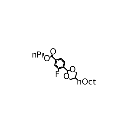 CCCCCCCCC1COC(c2ccc(C(=O)OCCC)cc2F)OC1